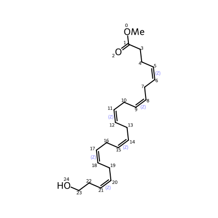 COC(=O)CC/C=C\C/C=C\C/C=C\C/C=C\C/C=C\C/C=C\CCO